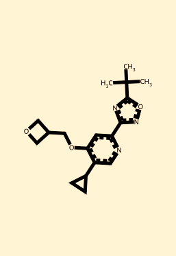 CC(C)(C)c1nc(-c2cc(OCC3COC3)c(C3CC3)cn2)no1